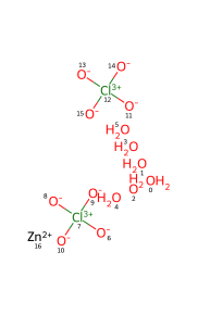 O.O.O.O.O.O.[O-][Cl+3]([O-])([O-])[O-].[O-][Cl+3]([O-])([O-])[O-].[Zn+2]